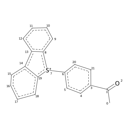 CC(=O)c1ccc(-[s+]2c3ccccc3c3ccccc32)cc1